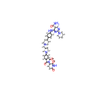 NC(=O)c1cnc(N2CCCCC2)nc1Nc1ccc(C2CCN(CC3CCN(c4ccc5c(c4)C(=O)N(C4CCC(=O)NC4=O)C5=O)C3)CC2)cc1